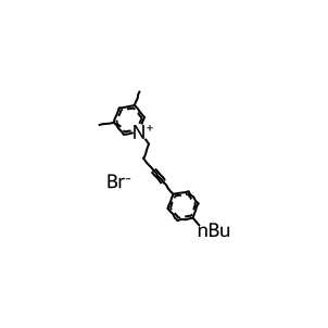 CCCCc1ccc(C#CCC[n+]2cc(C)cc(C)c2)cc1.[Br-]